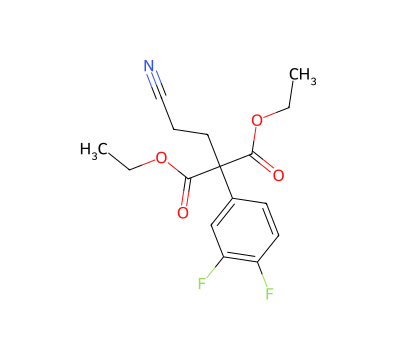 CCOC(=O)C(CCC#N)(C(=O)OCC)c1ccc(F)c(F)c1